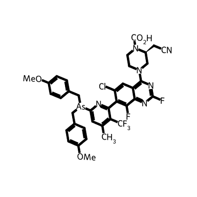 COc1ccc(C[As](Cc2ccc(OC)cc2)c2cc(C)c(C(F)(F)F)c(-c3c(Cl)cc4c(N5CCN(C(=O)O)[C@@H](CC#N)C5)nc(F)nc4c3F)n2)cc1